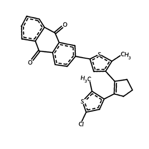 Cc1sc(Cl)cc1C1=C(c2cc(-c3ccc4c(c3)C(=O)c3ccccc3C4=O)sc2C)CCC1